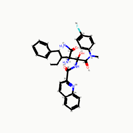 CCC(Cc1ccccc1)C(N)(C(N)=O)C(O)(NC(=O)c1ccc2ccccc2n1)C(=O)N(C)c1ccc(F)cc1